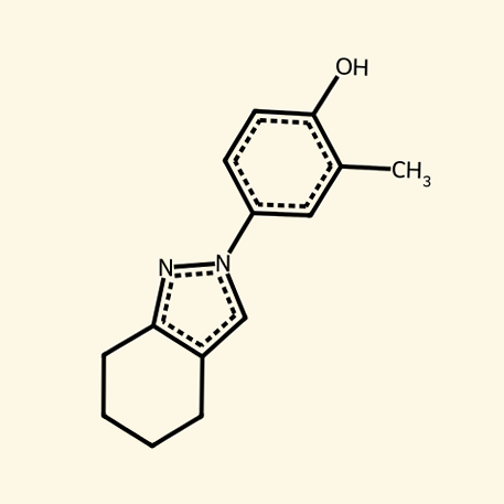 Cc1cc(-n2cc3c(n2)CCCC3)ccc1O